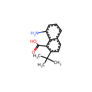 CC(C)(C)c1ccc2cccc(N)c2c1C(=O)O